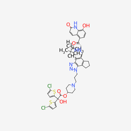 CC(C)(C)[Si](C)(C)O[C@@H](CNCc1cc2nnn(CCCN3CCC(OC(=O)C(O)(c4ccc(Cl)s4)c4ccc(Cl)s4)CC3)c2c2c1CCC2)c1ccc(O)c2[nH]c(=O)ccc12